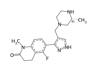 C[C@@H]1CN(Cc2c[nH]nc2-c2ccc3c(c2F)CCC(=O)N3C)CCN1